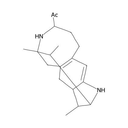 CC(=O)C1CCC2=C3CC4C(=C2)NC(C4C)C(C)C(C)(C3)N1